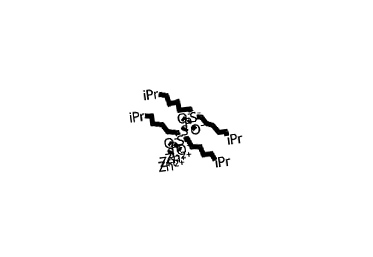 CC(C)CCCCC[S-](CCCCCC(C)C)P([O-])([O-])=S.CC(C)CCCCC[S-](CCCCCC(C)C)P([O-])([O-])=S.[Zn+2].[Zn+2].[Zn+2]